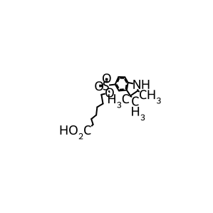 CC1Nc2ccc(S(=O)(=O)OCCCCCCC(=O)O)cc2C1(C)C